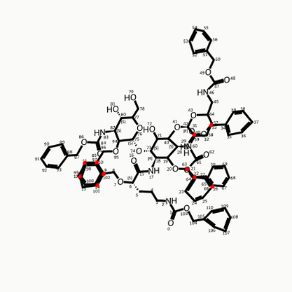 O=C(NCCC[C@H](OCc1ccccc1)C(=O)N[C@@H]1C(OCc2ccccc2)[C@H](NC(=O)OCc2ccccc2)C(O[C@H]2OC(CNC(=O)OCc3ccccc3)CCC2NC(=O)OCc2ccccc2)C(O)[C@H]1O[C@H]1OC(CO)[C@@H](O)[C@H](NC(=O)OCc2ccccc2)C1OCc1ccccc1)OCc1ccccc1